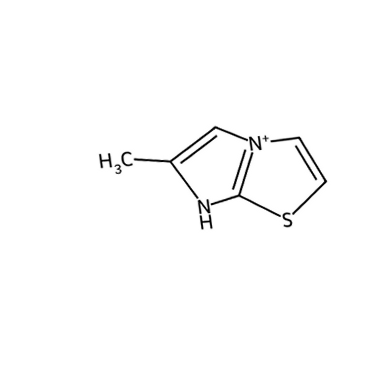 Cc1c[n+]2ccsc2[nH]1